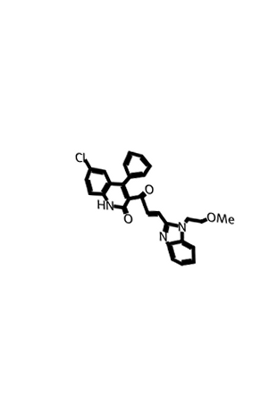 COCCn1c(C=CC(=O)c2c(-c3ccccc3)c3cc(Cl)ccc3[nH]c2=O)nc2ccccc21